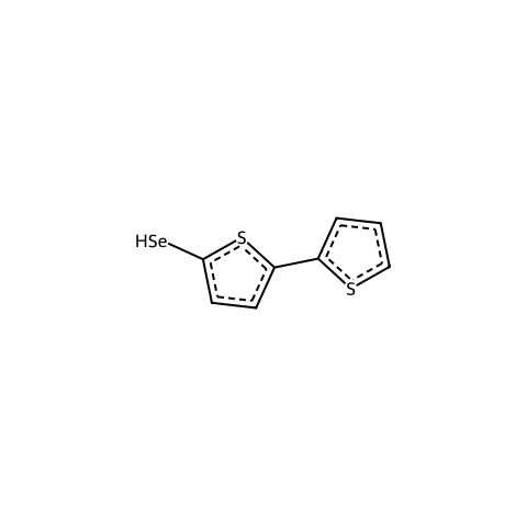 [SeH]c1ccc(-c2cccs2)s1